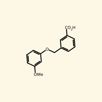 COc1cccc(OCc2cccc(C(=O)O)c2)c1